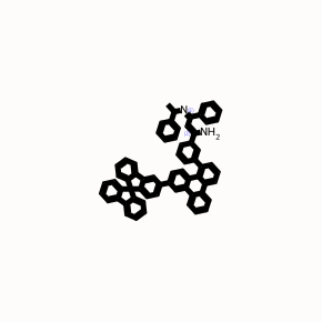 CC(/N=C(\C=C(/N)C1C=C(c2cccc3c4ccccc4c4cc(-c5ccc6c(c5)-c5ccccc5C65c6ccccc6-c6ccccc65)ccc4c23)C=CC1)c1ccccc1)c1ccccc1